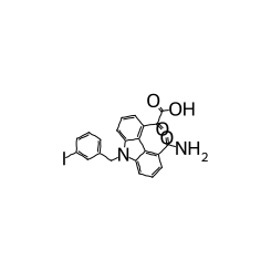 NC(=O)c1cccc2c1c1c(C(=O)C(=O)O)cccc1n2Cc1cccc(I)c1